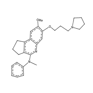 COc1cc2c3c(c(N(C)c4ccccc4)nc2cc1OCCCN1CCCC1)CCC3